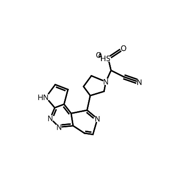 N#CC(N1CCC(c2nccc3nnc4[nH]ccc4c23)C1)[SH](=O)=O